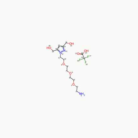 NCCOCCOCCOCCn1nc(CO)cc1CO.O=C(O)C(F)(F)F